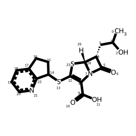 CC(O)C[C@@H]1C(=O)N2C(C(=O)O)=C(SC3CCc4cccnc43)S[C@H]12